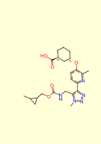 Cc1nc(-c2nnn(C)c2CNC(=O)OCC2CC2C)ccc1O[C@H]1CCC[C@H](C(=O)O)C1